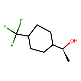 C[C@H](O)C1CCC(C(F)(F)F)CC1